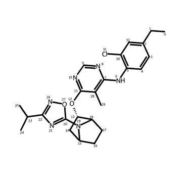 CCc1ccc(Nc2ncnc(O[C@H]3CC4CCC3N4c3nc(C(C)C)no3)c2C)c(Cl)c1